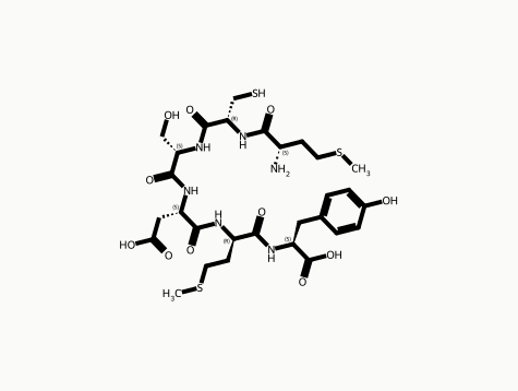 CSCC[C@H](N)C(=O)N[C@@H](CS)C(=O)N[C@@H](CO)C(=O)N[C@@H](CC(=O)O)C(=O)N[C@H](CCSC)C(=O)N[C@@H](Cc1ccc(O)cc1)C(=O)O